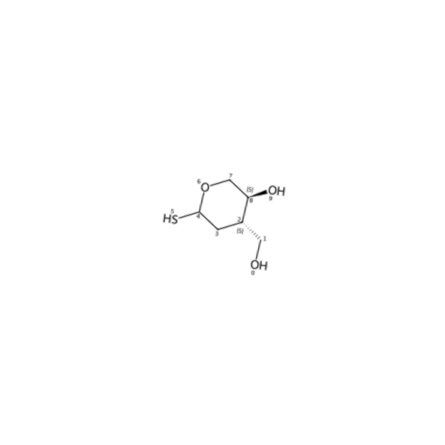 OC[C@@H]1CC(S)OC[C@H]1O